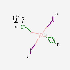 Cl[B-](Cl)(I)I.[Li+]